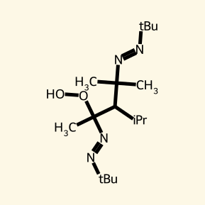 CC(C)C(C(C)(C)N=NC(C)(C)C)C(C)(N=NC(C)(C)C)OO